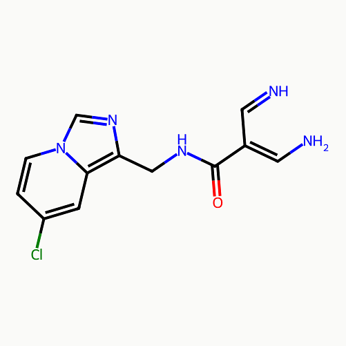 N=C/C(=C\N)C(=O)NCc1ncn2ccc(Cl)cc12